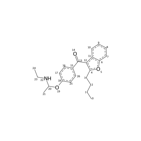 CCCCc1oc2ccccc2c1C(=O)c1ccc(OC(C)NCC)cc1